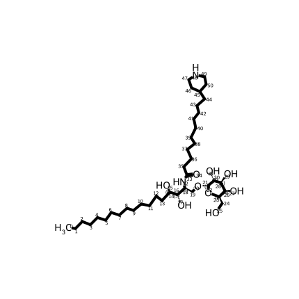 CCCCCCCCCCCCCC[C@@H](O)[C@@H](O)[C@H](CO[C@H]1O[C@H](CO)[C@H](O)[C@H](O)[C@H]1O)NC(=O)CCCCCCCCCCC1CCNCC1